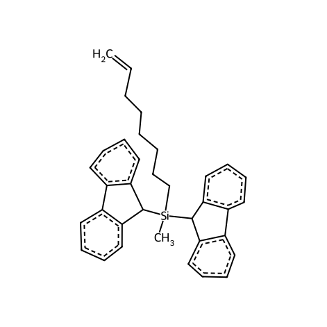 C=CCCCCCC[Si](C)(C1c2ccccc2-c2ccccc21)C1c2ccccc2-c2ccccc21